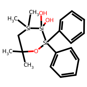 CC1(C)C[Si](C)(C)[Si](O)(O)[Si](c2ccccc2)(c2ccccc2)O1